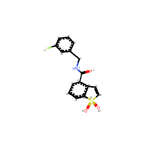 O=C(NCc1cccc(F)c1)c1cccc2c1C=CS2(=O)=O